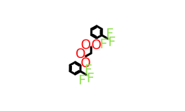 O=C(CC(=O)Oc1ccccc1C(F)(F)F)Oc1ccccc1C(F)(F)F